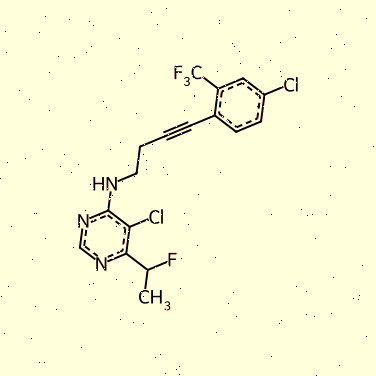 CC(F)c1ncnc(NCCC#Cc2ccc(Cl)cc2C(F)(F)F)c1Cl